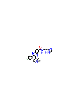 C/N=C(C)\C(=C/NC)c1nc2cc(C(=O)NCCCc3ncc[nH]3)ccc2nc1-c1ccc(F)cc1